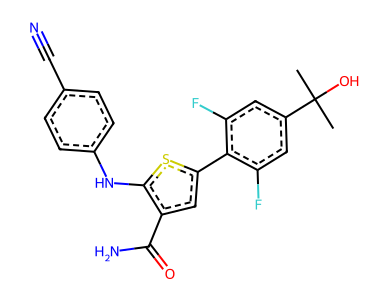 CC(C)(O)c1cc(F)c(-c2cc(C(N)=O)c(Nc3ccc(C#N)cc3)s2)c(F)c1